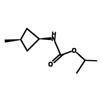 CC(C)OC(=O)N[C@H]1C[C@@H](C)C1